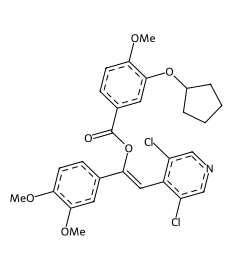 COc1ccc(C(=Cc2c(Cl)cncc2Cl)OC(=O)c2ccc(OC)c(OC3CCCC3)c2)cc1OC